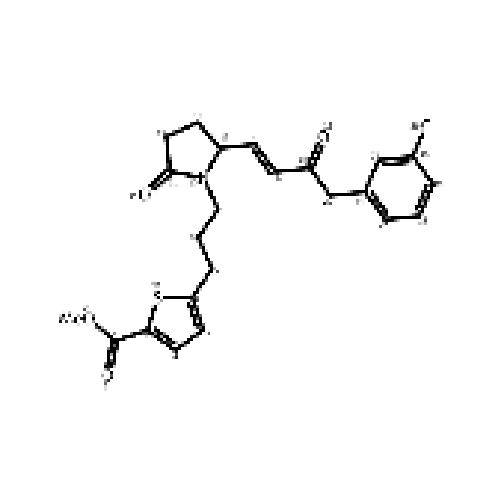 COC(=O)c1ccc(CCCN2C(=O)CCC2/C=C/C(=O)Cc2cccc(Cl)c2)s1